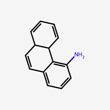 Nc1cccc2c1C1C=CC=CC1C=C2